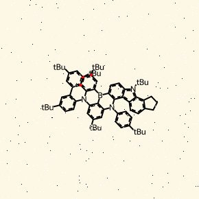 CC(C)(C)c1ccc(N2c3cc(C(C)(C)C)cc4c3B(c3cc(C(C)(C)C)ccc3N4c3ccc(C(C)(C)C)cc3-c3cc(C(C)(C)C)cc(C(C)(C)C)c3)c3ccc4c(c32)c2ccc3c(c2n4C(C)(C)C)CCC3)cc1